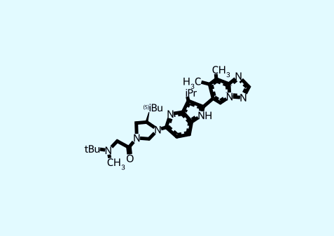 CC[C@H](C)C1CN(C(=O)CN(C)C(C)(C)C)CN1c1ccc2[nH]c(-c3cn4ncnc4c(C)c3C)c(C(C)C)c2n1